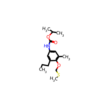 CCCc1cc(NC(=O)OC(C)C)cc(C)c1OCSC